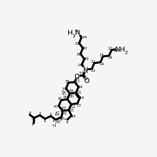 CC(C)CCC[C@@H](C)[C@H]1CCC2C3CC=C4CC(OC(=O)N(CCCCCCN)CCCCCCN)CC[C@]4(C)C3CC[C@@]21C